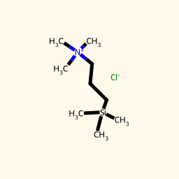 C[N+](C)(C)CCC[Si](C)(C)C.[Cl-]